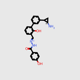 N[C@@H]1CC1c1cccc(-c2cccc(/C=N/NC(=O)c3ccc(O)cc3)c2O)c1